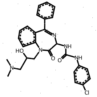 CN(C)CC(O)CN1C(=O)C(NC(=O)Nc2ccc(Cl)cc2)N=C(c2ccccc2)c2ccccc21